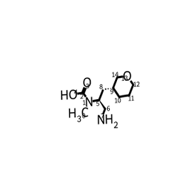 CN(C(=O)O)[C@H](CN)C[C@H]1CCCOC1